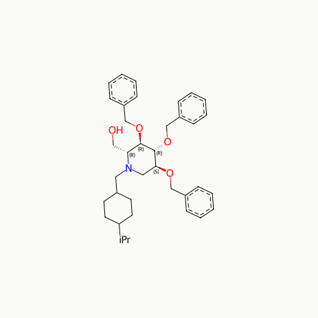 CC(C)C1CCC(CN2C[C@H](OCc3ccccc3)[C@@H](OCc3ccccc3)[C@H](OCc3ccccc3)[C@H]2CO)CC1